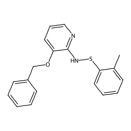 Cc1ccccc1SNc1ncccc1OCc1ccccc1